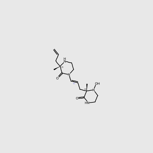 C=CC[C@]1(C)NCCN(/C=C/C[C@@]2(C)C(=O)NCCN2O)C1=O